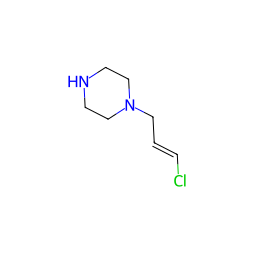 Cl/C=C/CN1CCNCC1